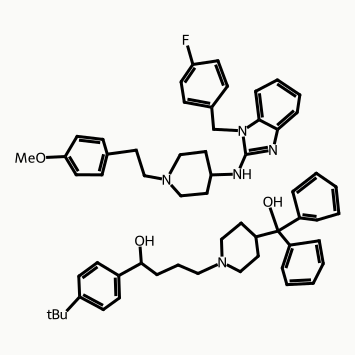 CC(C)(C)c1ccc(C(O)CCCN2CCC(C(O)(c3ccccc3)c3ccccc3)CC2)cc1.COc1ccc(CCN2CCC(Nc3nc4ccccc4n3Cc3ccc(F)cc3)CC2)cc1